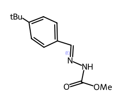 COC(=O)N/N=C/c1ccc(C(C)(C)C)cc1